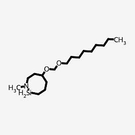 CCCCCCCCCOCOC1CCC[SiH2]N(C)CC1